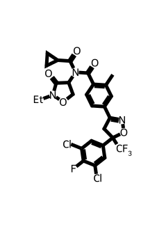 CCN1OCC(N(C(=O)c2ccc(C3=NOC(c4cc(Cl)c(F)c(Cl)c4)(C(F)(F)F)C3)cc2C)C(=O)C2CC2)C1=O